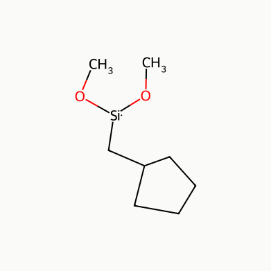 CO[Si](CC1CCCC1)OC